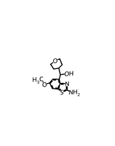 COc1cc(C(O)C2CCOCC2)c2nc(N)sc2c1